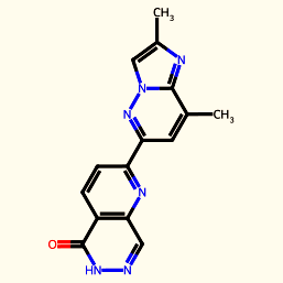 Cc1cn2nc(-c3ccc4c(=O)[nH]ncc4n3)cc(C)c2n1